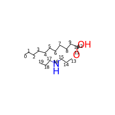 CCCCCCCCCCC(=O)O.CCCNCCC